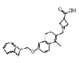 CC1=C(CN2CC(C(=O)O)C2)CCc2cc(OCC3Cc4ccccc43)ccc21